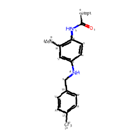 CCCCCCCC(=O)Nc1ccc(NCc2ccc(C(F)(F)F)cc2)cc1NC